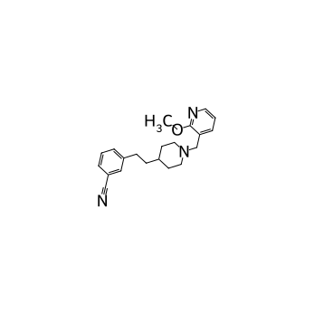 COc1ncccc1CN1CCC(CCc2cccc(C#N)c2)CC1